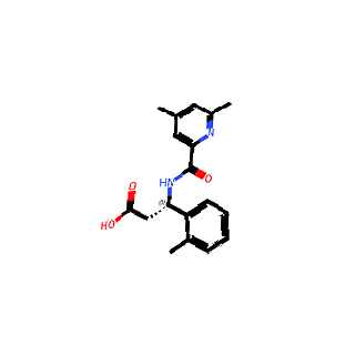 Cc1cc(C)nc(C(=O)N[C@@H](CC(=O)O)c2ccccc2C)c1